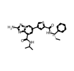 CC[C@H](NC(=O)c1cc(-c2cc(C(=O)NC(C)C)c3nc(N)nn3c2)cs1)c1ccccc1